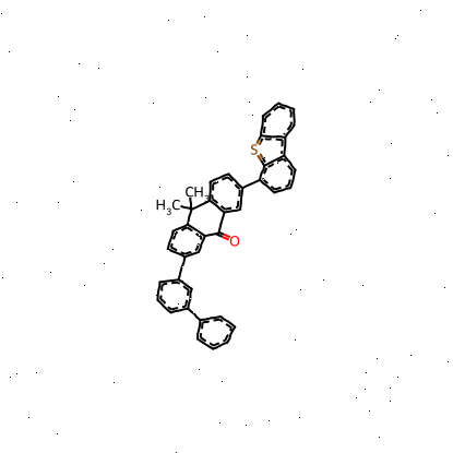 CC1(C)c2ccc(-c3cccc(-c4ccccc4)c3)cc2C(=O)c2cc(-c3cccc4c3sc3ccccc34)ccc21